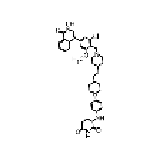 COc1cc(-c2cn(C)c(=O)c3ccccc23)cc(Cl)c1CN1CCC(CCC2CCN(c3ccc(NC4CCC(=O)NC4=O)cc3)CC2)CC1